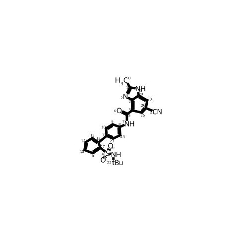 Cc1nc2c(C(=O)Nc3ccc(-c4ccccc4S(=O)(=O)NC(C)(C)C)cc3)cc(C#N)cc2[nH]1